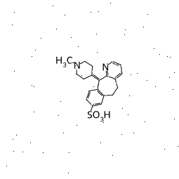 CN1CCC(=C2c3ccc(S(=O)(=O)O)cc3CCc3cccnc32)CC1